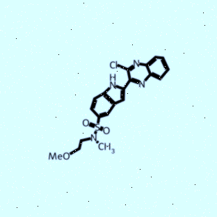 COCCN(C)S(=O)(=O)c1ccc2[nH]c(-c3nc4ccccc4nc3Cl)cc2c1